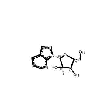 C[C@@]1(O)[C@H](O)[C@@H](CO)O[C@H]1n1ncc2cncnc21